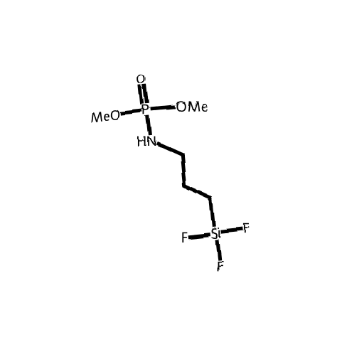 COP(=O)(NCCC[Si](F)(F)F)OC